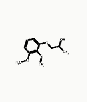 COc1cccc(OCC(C)O)c1OC